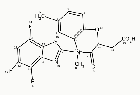 Cc1ccc2c(c1)[N+](C)(c1nc3c(F)c(F)cc(F)c3s1)C(=O)C(CC(=O)O)O2